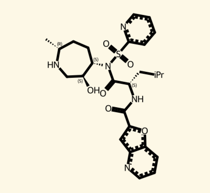 CC(C)C[C@H](NC(=O)c1cc2ncccc2o1)C(=O)N([C@H]1CC[C@@H](C)NC[C@@H]1O)S(=O)(=O)c1ccccn1